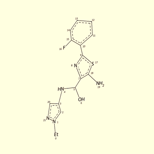 CCn1cc(NC(O)c2nc(-c3ccccc3F)sc2N)cn1